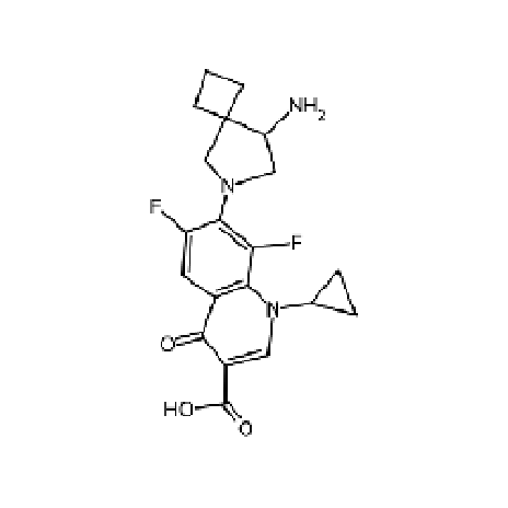 NC1CN(c2c(F)cc3c(=O)c(C(=O)O)cn(C4CC4)c3c2F)CC12CCC2